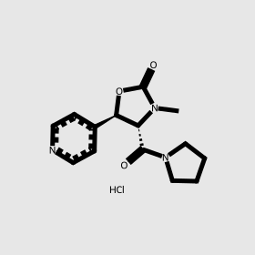 CN1C(=O)O[C@H](c2ccncc2)[C@H]1C(=O)N1CCCC1.Cl